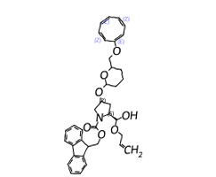 C=CCOC(O)[C@@H]1C[C@@H](OC2CCCC(COC3=C/C=C\C=C/C=C\3)O2)CN1C(=O)OCC1c2ccccc2-c2ccccc21